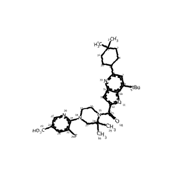 CC1(C)CCC(c2cc(C(C)(C)C)c3oc(C(=O)N4CCN(c5ncc(C(=O)O)cc5F)CC4(C)C)cc3n2)CC1